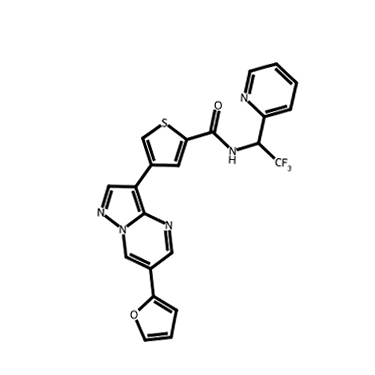 O=C(NC(c1ccccn1)C(F)(F)F)c1cc(-c2cnn3cc(-c4ccco4)cnc23)cs1